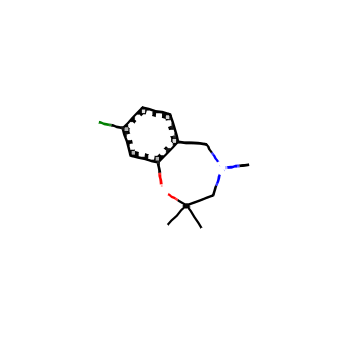 CN1Cc2ccc(Br)cc2OC(C)(C)C1